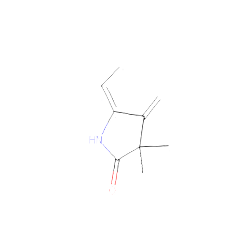 C=C1/C(=C\C)NC(=O)C1(C)C